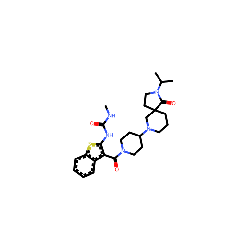 CNC(=O)Nc1sc2ccccc2c1C(=O)N1CCC(N2CCCC3(CCN(C(C)C)C3=O)C2)CC1